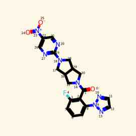 O=C(c1c(F)cccc1-n1nccn1)N1CC2CN(c3ncc([N+](=O)[O-])cn3)CC2C1